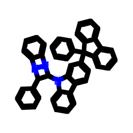 c1ccc(C2C(n3c4ccccc4c4ccc(C5(c6ccccc6)c6ccccc6-c6ccccc65)cc43)n3c4ccccc4n32)cc1